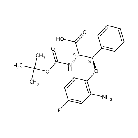 CC(C)(C)OC(=O)N[C@H](C(=O)O)[C@H](Oc1ccc(F)cc1N)c1ccccc1